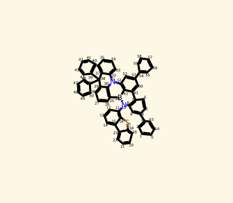 c1ccc(-c2ccc3c(c2)N(c2cccc4c2sc2ccccc24)B2c4cccc5c4N(c4ccccc4C5(c4ccccc4)c4ccccc4)c4cc(-c5ccccc5)cc-3c42)cc1